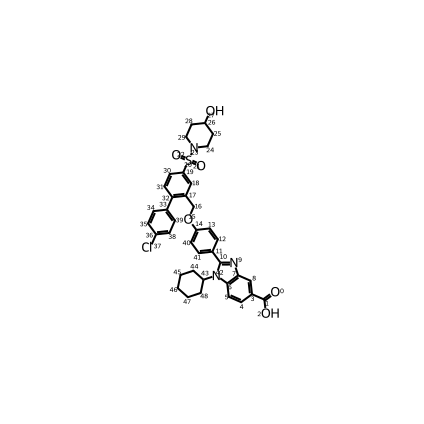 O=C(O)c1ccc2c(c1)nc(-c1ccc(OCc3cc(S(=O)(=O)N4CCC(O)CC4)ccc3-c3ccc(Cl)cc3)cc1)n2C1CCCCC1